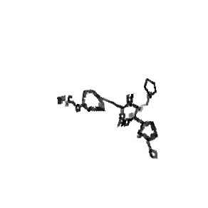 O=C(Cc1ccc(OC(F)(F)F)cc1)N[C@H](CN1CCCC1)[C@H](O)c1ccc(Cl)s1